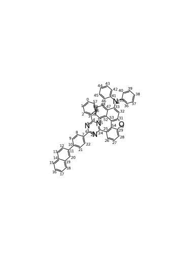 c1ccc(-c2nc(-c3ccc(-c4ccc5ccccc5c4)cc3)nc(-c3cccc4oc5cc(N(c6ccccc6)c6ccccc6)c6ccccc6c5c34)n2)cc1